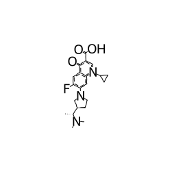 C[C@H]([C@@H]1CCN(c2cc3c(cc2F)c(=O)c(C(=O)O)cn3C2CC2)C1)N(C)C